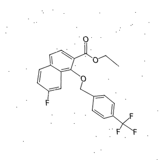 CCOC(=O)c1ccc2ccc(F)cc2c1OCc1ccc(C(F)(F)F)cc1